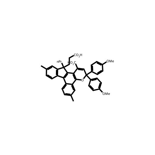 CCCC1(CCC(=O)O)c2cc(C)ccc2-c2c1c1c(c3cc(C)ccc23)OC(c2ccc(OC)cc2)(c2ccc(OC)cc2)C=C1C(=O)O